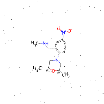 CNCc1cc([N+](=O)[O-])ccc1N1C[C@@H](C)O[C@@H](C)C1